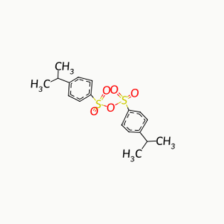 CC(C)c1ccc(S(=O)(=O)OS(=O)(=O)c2ccc(C(C)C)cc2)cc1